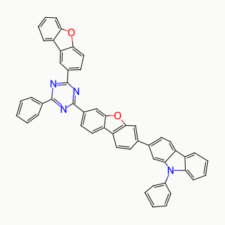 c1ccc(-c2nc(-c3ccc4c(c3)oc3cc(-c5ccc6c7ccccc7n(-c7ccccc7)c6c5)ccc34)nc(-c3ccc4oc5ccccc5c4c3)n2)cc1